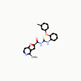 COc1nccc2oc(C(=O)NC(=S)Nc3ccccc3Oc3cccc(C)c3)cc12